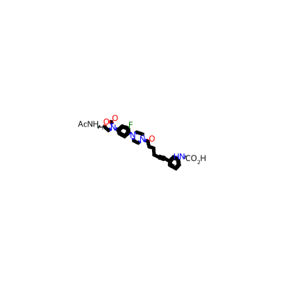 CC(=O)NC[C@H]1CN(c2ccc(N3CCN(C(=O)CCCC#Cc4cccc(NC(=O)O)c4)CC3)c(F)c2)C(=O)O1